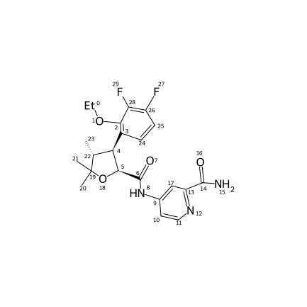 CCOc1c([C@H]2[C@@H](C(=O)Nc3ccnc(C(N)=O)c3)OC(C)(C)[C@@H]2C)ccc(F)c1F